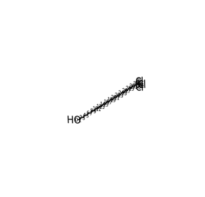 OCCCCCCCCCCCCCCCCCCCCCCCCCCCCCCCC[Si](Cl)(Cl)Cl